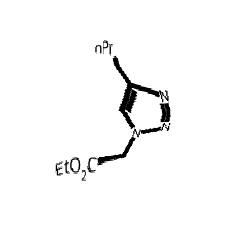 CCCc1cn(CC(=O)OCC)nn1